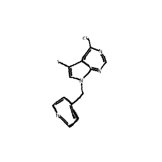 Clc1ncnc2c1c(I)cn2Cc1ccncc1